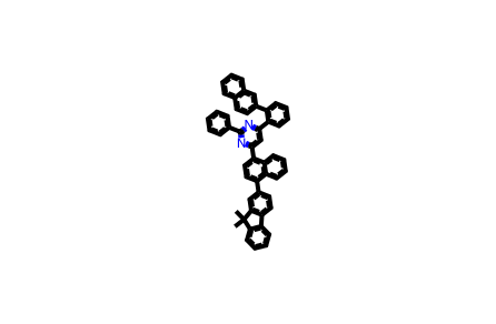 CC1(C)c2ccccc2-c2ccc(-c3ccc(-c4cc(-c5ccccc5-c5ccc6ccccc6c5)nc(-c5ccccc5)n4)c4ccccc34)cc21